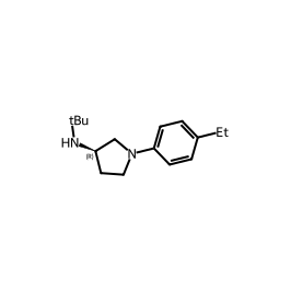 CCc1ccc(N2CC[C@@H](NC(C)(C)C)C2)cc1